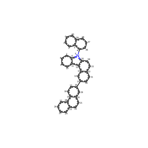 c1ccc2c(-n3c4ccccc4c4c5cc(-c6ccc7c(ccc8ccccc87)c6)ccc5ccc43)cccc2c1